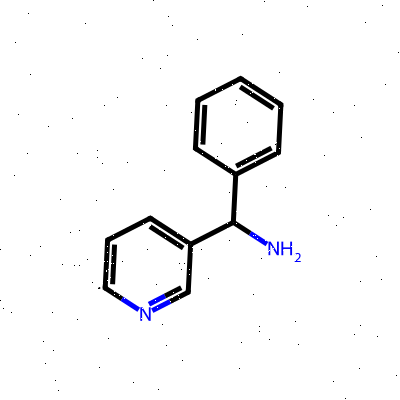 NC(c1ccccc1)c1cc[c]nc1